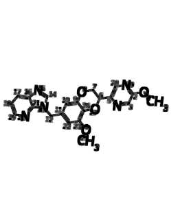 COc1cnc(C2COc3cc(Cn4cnc5cccnc54)cc(OC)c3O2)cn1